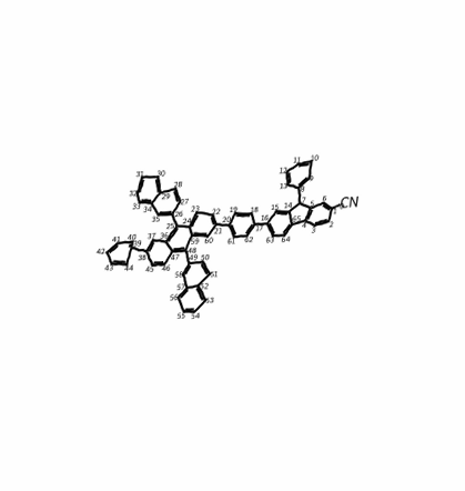 N#Cc1ccc2c(c1)C(c1ccccc1)c1cc(-c3ccc(-c4ccc5c(-c6ccc7ccccc7c6)c6cc(-c7ccccc7)ccc6c(-c6ccc7ccccc7c6)c5c4)cc3)ccc1-2